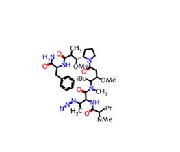 CCC(C)C(C(CC(=O)N1CCC[C@H]1C(OC)C(C)C(=O)NC(Cc1ccccc1)C(N)=O)OC)N(C)C(=O)C(NC(=O)C(NC)C(C)C)C(C)N=[N+]=[N-]